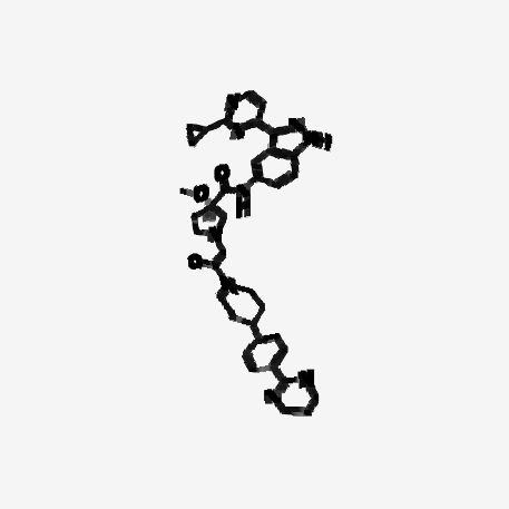 CO[C@@]1(C(=O)Nc2ccc3[nH]nc(-c4ccnc(C5CC5)n4)c3c2)CCN(CC(=O)N2CCC(c3ccc(-c4ncccn4)cc3)CC2)C1